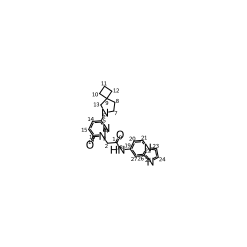 O=C(Cn1nc(N2CCC3(CCC3)C2)ccc1=O)Nc1ccn2ccnc2c1